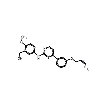 C/C=C\COc1cccc(-c2ccnc(Nc3ccc(OC)c(CO)c3)n2)c1